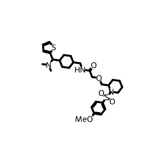 COc1ccc(S(=O)(=O)N2CCCCC2COCC(=O)NCC2CCC(C(c3cccs3)N(C)C)CC2)cc1